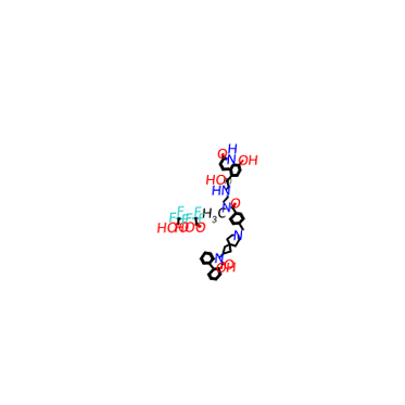 CN(CCNC[C@H](O)c1ccc(O)c2[nH]c(=O)ccc12)C(=O)c1ccc(CN2CCC3(CC2)CC(N(C(=O)O)c2ccccc2-c2ccccc2)C3)cc1.O=C(O)C(F)(F)F.O=C(O)C(F)(F)F